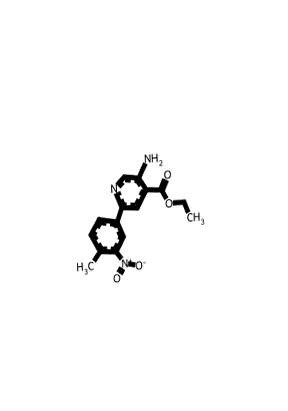 CCOC(=O)c1cc(-c2ccc(C)c([N+](=O)[O-])c2)ncc1N